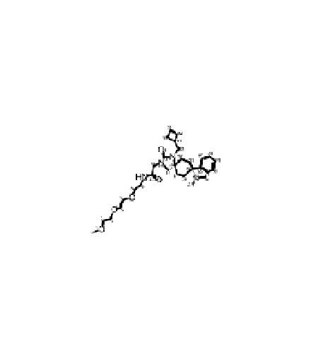 COCCOCCOCCNC(=O)CN1C[C@]2(CC[C@@](c3ccccc3)(N(C)C)CC2)N(CC2CCC2)C1=O